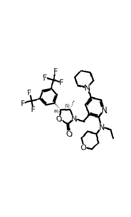 CCN(c1ncc(N2CCCCC2)cc1CN1C(=O)O[C@H](c2cc(C(F)(F)F)cc(C(F)(F)F)c2)[C@@H]1C)C1CCOCC1